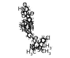 [2H]C1([2H])N(CC2CCN(C(=O)C[C@@H]3N=C(c4ccc(Cl)cc4)c4c(sc(C)c4C)-n4c(C)nnc43)CC2)C([2H])([2H])C([2H])([2H])N(c2c(F)cc3c(c2F)C(=O)N(C2CCC(=O)NC2=O)C3=O)C1([2H])[2H]